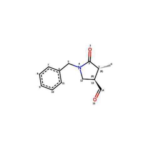 C[C@H]1C(=O)N(Cc2ccccc2)C[C@@H]1C=O